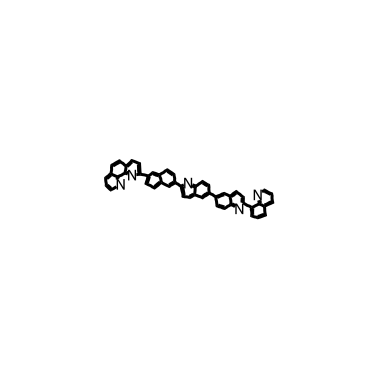 c1cnc2c(-c3ccc4cc(-c5ccc6nc(-c7ccc8cc(-c9ccc%10ccc%11cccnc%11c%10n9)ccc8c7)ccc6c5)ccc4n3)cccc2c1